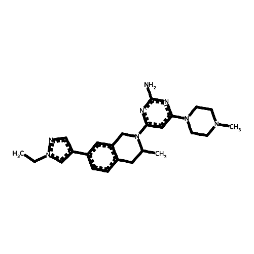 CCn1cc(-c2ccc3c(c2)CN(c2cc(N4CCN(C)CC4)nc(N)n2)C(C)C3)cn1